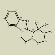 CCC1(O)C(C)CCN2CCc3c([nH]c4ccccc34)C21